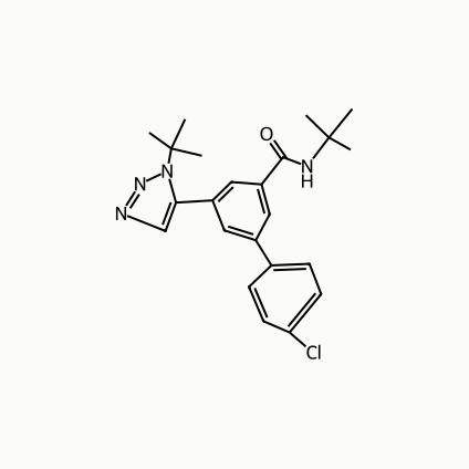 CC(C)(C)NC(=O)c1cc(-c2ccc(Cl)cc2)cc(-c2cnnn2C(C)(C)C)c1